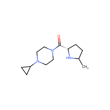 CC1CC[C@@H](C(=O)N2CCN(C3CC3)CC2)N1